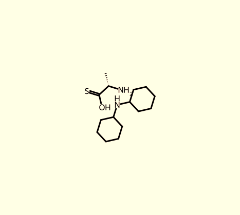 C1CCC(NC2CCCCC2)CC1.C[C@H](N)C(O)=S